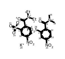 CCN(CC)C(=O)c1ccc([N+](=O)[O-])cc1S(=O)(=O)[O-].CN(C)C(=O)c1ccc([N+](=O)[O-])cc1S(=O)(=O)O.[K+]